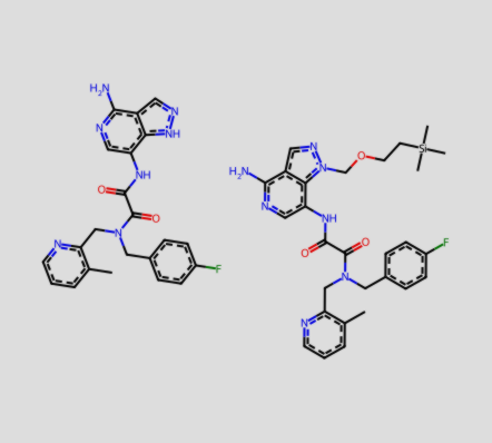 Cc1cccnc1CN(Cc1ccc(F)cc1)C(=O)C(=O)Nc1cnc(N)c2cn[nH]c12.Cc1cccnc1CN(Cc1ccc(F)cc1)C(=O)C(=O)Nc1cnc(N)c2cnn(COCC[Si](C)(C)C)c12